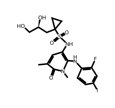 Cc1cc(NS(=O)(=O)C2(C[C@H](O)CO)CC2)c(Nc2ccc(I)cc2F)n(C)c1=O